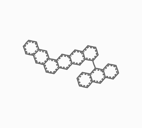 c1ccc2cc3c(ccc4cc5cc6c(-c7c8ccccc8cc8ccccc78)cccc6cc5cc43)cc2c1